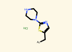 CC(=O)Cc1cnc(N2CCNCC2)s1.Cl